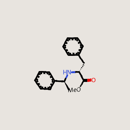 COC(=O)[C@@H](Cc1ccccc1)N[C@@H](C)c1ccccc1